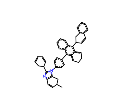 CC1C=Cc2nc(C3C=CC=CC3)n(-c3ccc(-c4c5c(c(C6C=Cc7ccccc7C6)c6ccccc46)=CCCC=5)cc3)c2C1